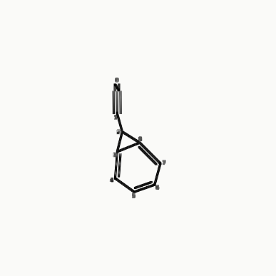 N#CC1c2ccccc21